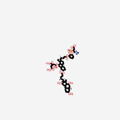 C[C@H](CCC(=O)O[C@@H]1CC[C@@]2(C)C(C1)C[C@@H](OC(=O)CC(O)(CC(=O)O)C(=O)O)C1C2CC[C@@]2(C)C1CC[C@@H]2[C@H](C)CCC(=O)Oc1ccccc1OS(=O)(=O)OC(CC(=O)[O-])C[N+](C)(C)C)[C@H]1CCC2C3C(C[C@H](O)[C@@]21C)[C@@]1(C)CC[C@@H](O)C[C@H]1C[C@H]3O